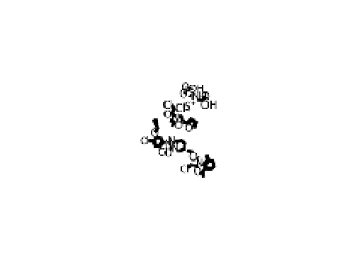 C#CCOc1cc(-n2nc3n(c2=O)CCCC3)c(Cl)cc1Cl.CC1(C)OC(c2ccco2)CN1C(=O)C(Cl)Cl.CCOCN(C(=O)CCl)c1c(C)cccc1CC.C[S+](C)C.O=C(O)CNCP(=O)([O-])O